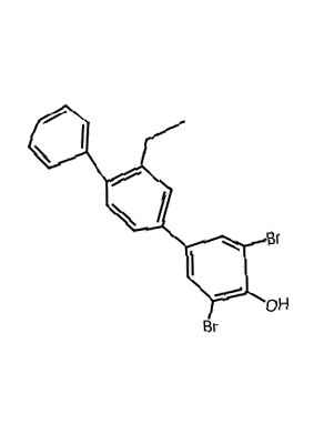 CCc1cc(-c2cc(Br)c(O)c(Br)c2)ccc1-c1ccccc1